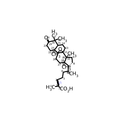 C/C(=C/CC[C@@H](C)[C@H]1CC[C@@]2(C)C34CCC5C(C)(C)C(=O)CC[C@]5(C)C3(CC[C@]12C)O4)C(=O)O